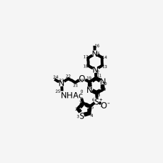 CC(=O)Nc1cscc1[S+]([O-])c1cnc(N2CCN(C)CC2)c(OCCN(C)C)n1